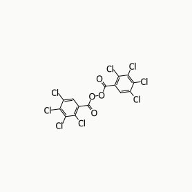 O=C(OOC(=O)c1cc(Cl)c(Cl)c(Cl)c1Cl)c1cc(Cl)c(Cl)c(Cl)c1Cl